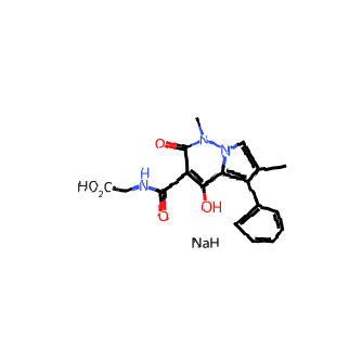 Cc1cn2c(c(O)c(C(=O)NCC(=O)O)c(=O)n2C)c1-c1ccccc1.[NaH]